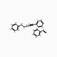 C#Cc1ccccc1.C=Cc1ccccc1.OCCc1ccccc1